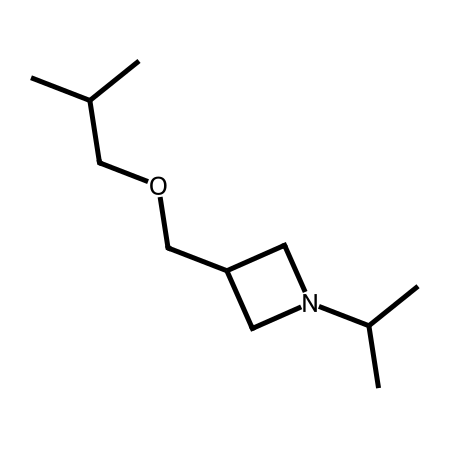 CC(C)COCC1CN(C(C)C)C1